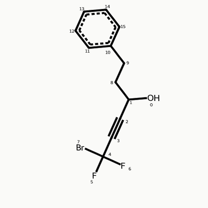 OC(C#CC(F)(F)Br)CCc1ccccc1